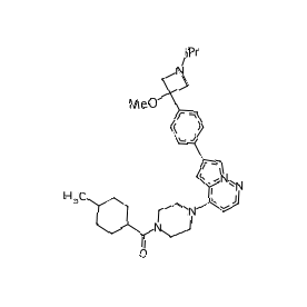 COC1(c2ccc(-c3cc4c(N5CCN(C(=O)C6CCC(C)CC6)CC5)ccnn4c3)cc2)CN(C(C)C)C1